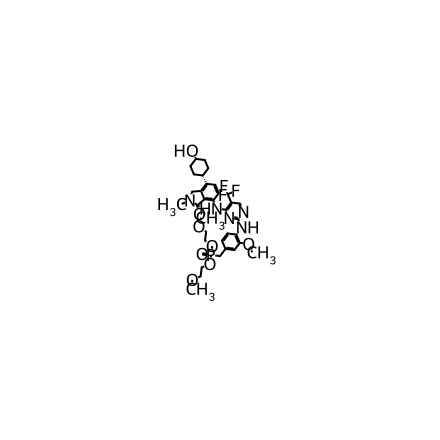 COCCOP(=O)(Cc1ccc(Nc2ncc(C(F)(F)F)c(Nc3ccc([C@H]4CC[C@H](O)CC4)c4c3C(=O)N(C)C4)n2)c(OC)c1)OCCOC